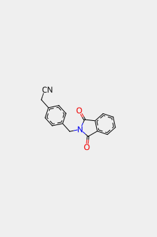 N#CCc1ccc(CN2C(=O)c3ccccc3C2=O)cc1